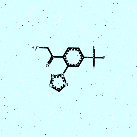 CCC(=O)c1ccc(C(F)(F)F)cc1-n1ncnn1